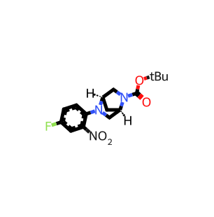 CC(C)(C)OC(=O)N1C[C@H]2C[C@@H]1CN2c1ccc(F)cc1[N+](=O)[O-]